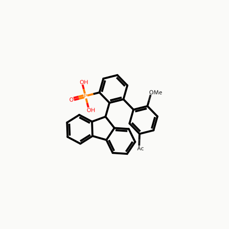 COc1ccc(C(C)=O)cc1-c1cccc(P(=O)(O)O)c1C1c2ccccc2-c2ccccc21